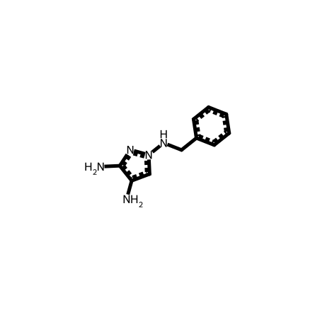 Nc1cn(NCc2ccccc2)nc1N